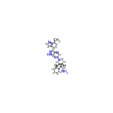 Cc1ccc(-c2n[nH]c3nc(N4CC[C@@H]5[C@H](C4)[C@@]5(CN)c4ccccc4F)cnc23)c2ccnn12